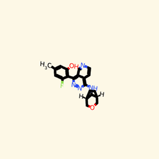 Cc1cc(O)c(-c2nnc(NC3[C@@H]4CC[C@H]3COC4)c3ccncc23)c(F)c1